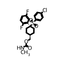 CNC(=O)OC[C@H]1CC[C@@](c2cc(F)ccc2F)(S(=O)(=O)c2ccc(Cl)cc2)CC1